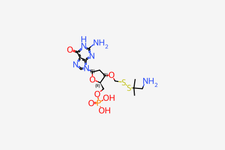 CC(C)(CN)SSCO[C@@H]1C[C@H](n2cnc3c(=O)[nH]c(N)nc32)O[C@@H]1COP(=O)(O)O